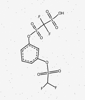 O=S(=O)(Oc1cccc(OS(=O)(=O)C(F)(F)S(=O)(=O)O)c1)C(F)F